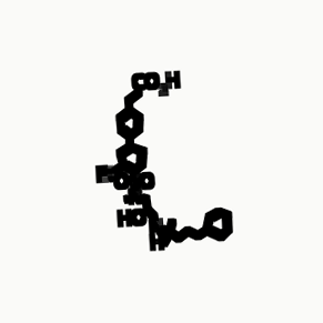 CCc1cc(-c2ccc(CCC(=O)O)cc2)ccc1S(=O)(=O)N(C)C[C@H](O)CNC(C)(C)CCCc1ccccc1